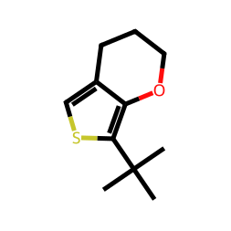 CC(C)(C)c1scc2c1OCCC2